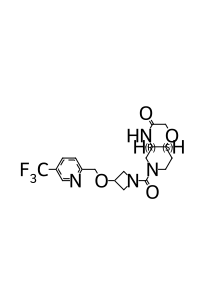 O=C1CO[C@H]2CCN(C(=O)N3CC(OCc4ccc(C(F)(F)F)cn4)C3)C[C@H]2N1